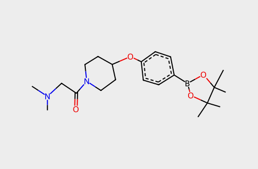 CN(C)CC(=O)N1CCC(Oc2ccc(B3OC(C)(C)C(C)(C)O3)cc2)CC1